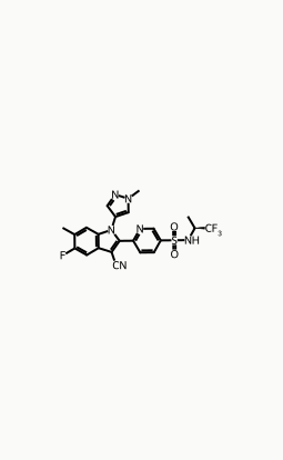 Cc1cc2c(cc1F)c(C#N)c(-c1ccc(S(=O)(=O)N[C@@H](C)C(F)(F)F)cn1)n2-c1cnn(C)c1